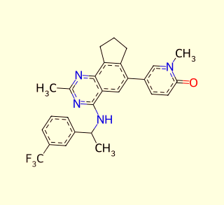 Cc1nc(NC(C)c2cccc(C(F)(F)F)c2)c2cc(-c3ccc(=O)n(C)c3)c3c(c2n1)CCC3